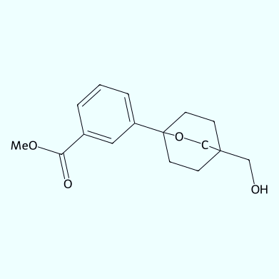 COC(=O)c1cccc(C23CCC(CO)(CC2)CO3)c1